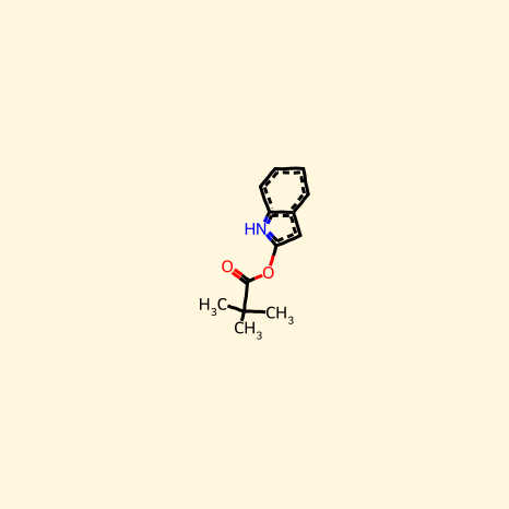 CC(C)(C)C(=O)Oc1cc2ccccc2[nH]1